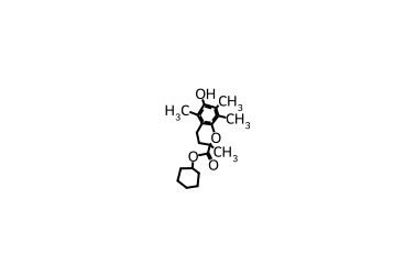 Cc1c(C)c2c(c(C)c1O)CCC(C)(C(=O)OC1CCCCC1)O2